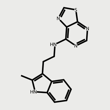 Cc1[nH]c2ccccc2c1CCNc1ncnc2scnc12